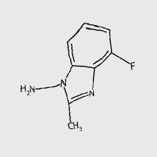 Cc1nc2c(F)cccc2n1N